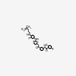 CN(C)CCCNc1ccc(Nc2nccc(CC(=O)c3cccc(NC(=O)c4cc(F)ccc4F)c3)n2)cc1F